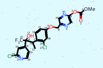 COC(=O)Oc1cnc(COc2ccc(C(C)C(O)(c3ccnc(Cl)c3)C(F)(F)F)c(Cl)c2)cn1